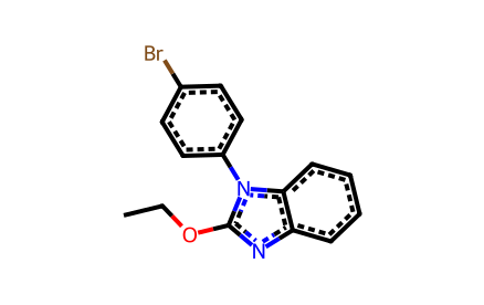 CCOc1nc2ccccc2n1-c1ccc(Br)cc1